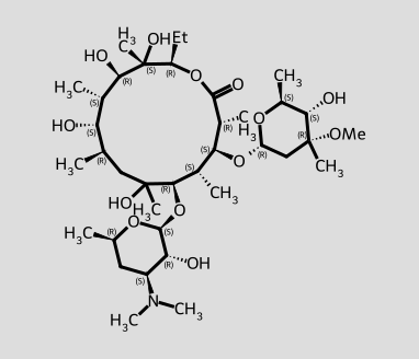 CC[C@H]1OC(=O)[C@H](C)[C@@H](O[C@H]2C[C@@](C)(OC)[C@@H](O)[C@H](C)O2)[C@H](C)[C@@H](O[C@@H]2O[C@H](C)C[C@H](N(C)C)[C@H]2O)C(C)(O)C[C@@H](C)[C@H](O)[C@H](C)[C@@H](O)[C@]1(C)O